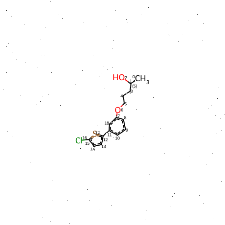 C[C@H](O)[CH]CCOc1cccc(-c2ccc(Cl)s2)c1